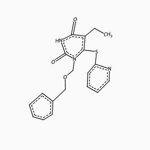 CCc1c(Sc2ccccn2)n(COCc2ccccc2)c(=O)[nH]c1=O